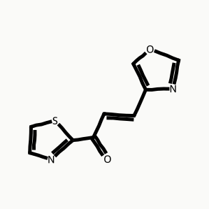 O=C(/C=C/c1cocn1)c1nccs1